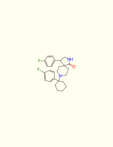 O=C1NCC(c2ccc(F)cc2)C12CCN(C1(c3ccc(F)cc3)CCCCC1)CC2